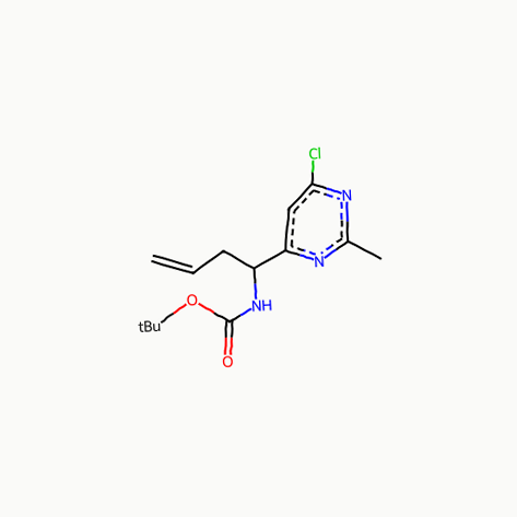 C=CCC(NC(=O)OC(C)(C)C)c1cc(Cl)nc(C)n1